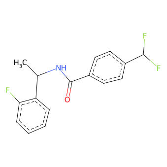 CC(NC(=O)c1ccc(C(F)F)cc1)c1ccccc1F